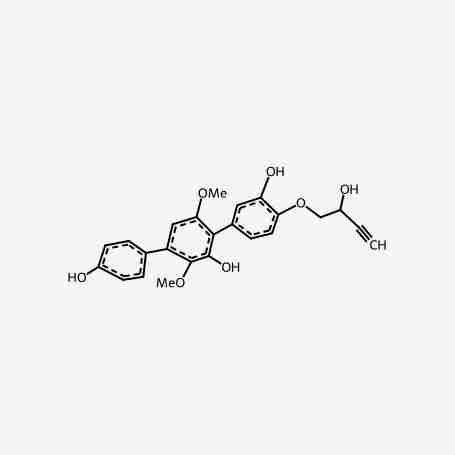 C#CC(O)COc1ccc(-c2c(OC)cc(-c3ccc(O)cc3)c(OC)c2O)cc1O